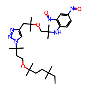 CCC(C)(C)CCC(C)(C)OCCC(C)(C)n1cc(CC(C)(C)OCC(C)(C)Nc2ccc(N=O)cc2N=O)nn1